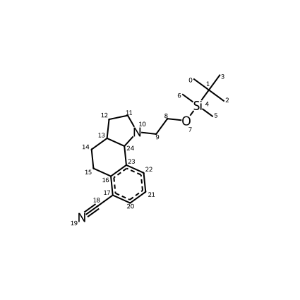 CC(C)(C)[Si](C)(C)OCCN1CCC2CCc3c(C#N)cccc3C21